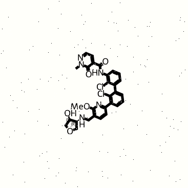 COc1nc(-c2cccc(-c3cccc(NC(=O)c4ccnn(C)c4=O)c3Cl)c2Cl)ccc1CN[C@@H]1COC[C@H]1O